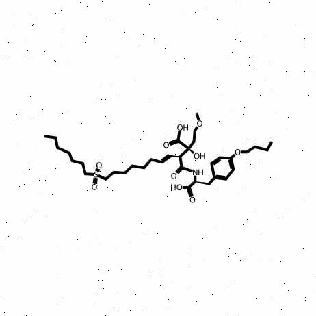 CCCCCCCS(=O)(=O)CCCCCCC=C[C@H](C(=O)N[C@@H](Cc1ccc(OCCCC)cc1)C(=O)O)[C@@](O)(CCOC)C(=O)O